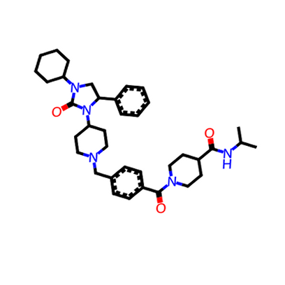 CC(C)NC(=O)C1CCN(C(=O)c2ccc(CN3CCC(N4C(=O)N(C5CCCCC5)CC4c4ccccc4)CC3)cc2)CC1